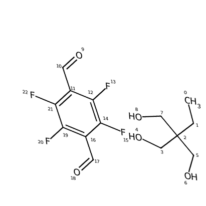 CCC(CO)(CO)CO.O=Cc1c(F)c(F)c(C=O)c(F)c1F